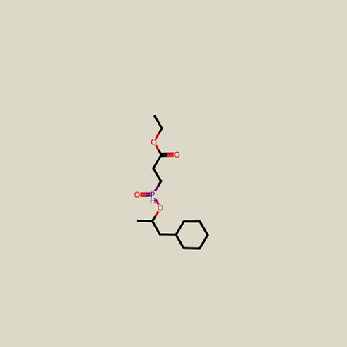 CCOC(=O)CC[PH](=O)OC(C)CC1CCCCC1